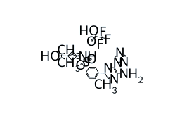 Cc1ccc(S(=O)(=O)NC23CC(C(C)(C)O)(C2)C3)cc1-c1cnc(N)c(-n2cncn2)n1.O=C(O)C(F)(F)F